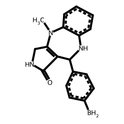 Bc1ccc(C2Nc3ccccc3N(C)C3=C2C(=O)NC3)cc1